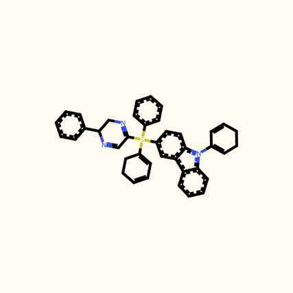 C1=CCCC(S(C2=NCC(c3ccccc3)N=C2)(c2ccccc2)c2ccc3c(c2)c2ccccc2n3C2=CCCC=C2)=C1